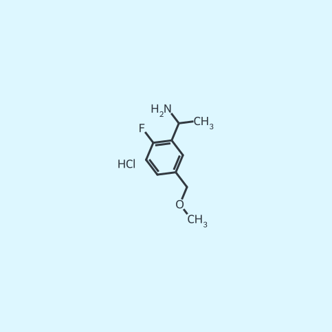 COCc1ccc(F)c(C(C)N)c1.Cl